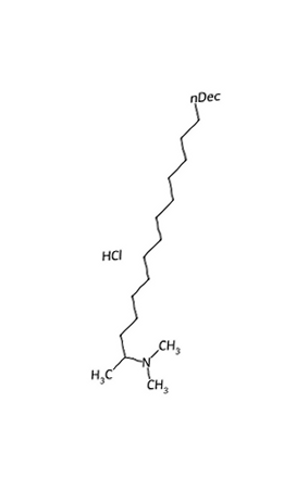 CCCCCCCCCCCCCCCCCCCCCCC(C)N(C)C.Cl